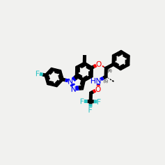 Cc1cc2c(cnn2-c2ccc(F)cc2)cc1O[C@H](c1ccccc1)[C@H](C)NOCC(F)(F)F